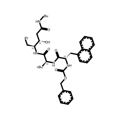 CCCC[C@H](NC(=O)[C@H](Cc1cccc2ccccc12)NC(=O)OCc1ccccc1)C(=O)N[C@@H](CC(C)C)[C@@H](O)CC(=O)NC(C)CC